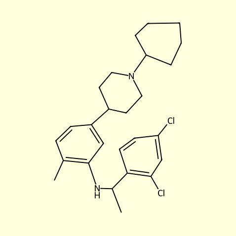 Cc1ccc(C2CCN(C3CCCCC3)CC2)cc1NC(C)c1ccc(Cl)cc1Cl